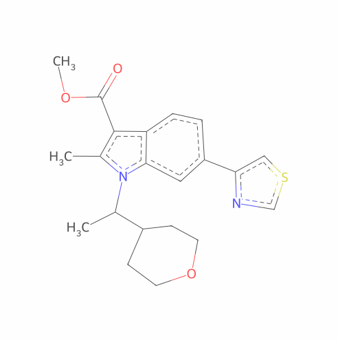 COC(=O)c1c(C)n(C(C)C2CCOCC2)c2cc(-c3cscn3)ccc12